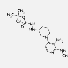 CNc1nccc(N2CCC[C@@H](NNC(=O)OC(C)(C)C)C2)c1N